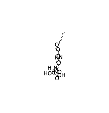 CCCCCCCOc1ccc(-c2cnc(-c3ccc(C[C@H](N)C(=O)N4C[C@@H](O)C[C@H]4C(=O)O)cc3)nc2)cc1